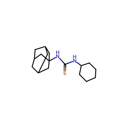 S=C(NC1CCCCC1)NC12CC3CC(CC(C3)C1)C2